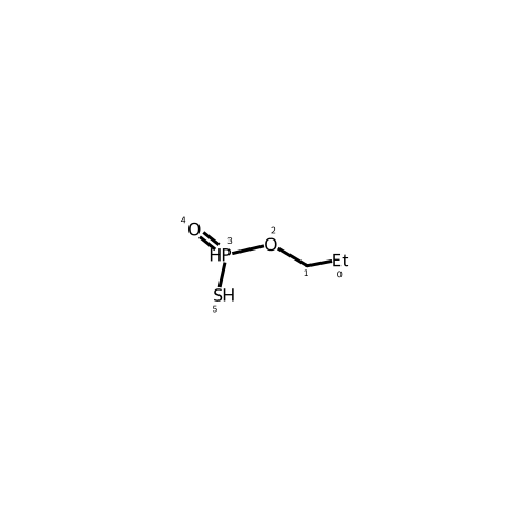 CCCO[PH](=O)S